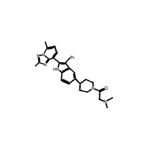 Cc1nc2c(-c3[nH]c4ccc(C5CCN(C(=O)CN(C)C)CC5)cc4c3C(C)C)ccc(C)n2n1